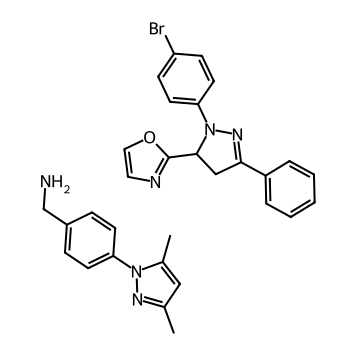 Brc1ccc(N2N=C(c3ccccc3)CC2c2ncco2)cc1.Cc1cc(C)n(-c2ccc(CN)cc2)n1